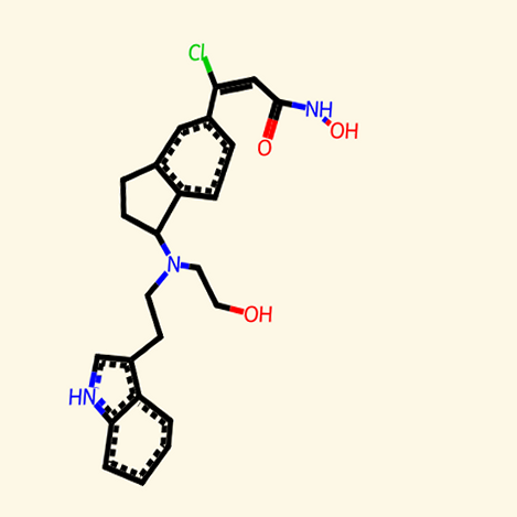 O=C(/C=C(/Cl)c1ccc2c(c1)CCC2N(CCO)CCc1c[nH]c2ccccc12)NO